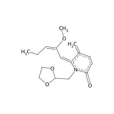 C=c1ccc(=O)n(CC2OCCO2)/c1=C/C(=C\CC)OC